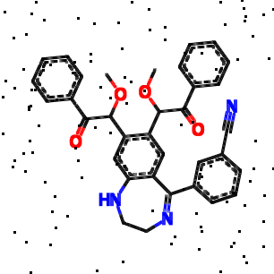 COC(C(=O)c1ccccc1)c1cc2c(cc1C(OC)C(=O)c1ccccc1)C(c1cccc(C#N)c1)=NCCN2